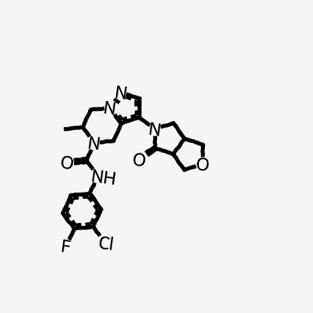 CC1Cn2ncc(N3CC4COCC4C3=O)c2CN1C(=O)Nc1ccc(F)c(Cl)c1